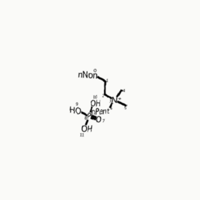 CCCCCCCCCCC[N+](C)(C)CCCCC.O=P(O)(O)O